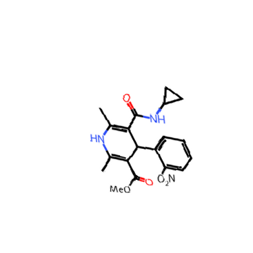 COC(=O)C1=C(C)NC(C)=C(C(=O)NC2CC2)C1c1ccccc1[N+](=O)[O-]